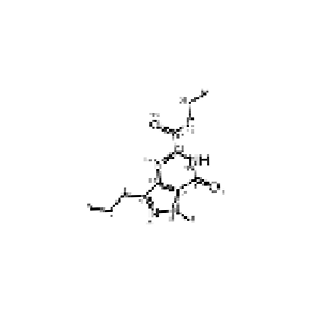 CCCc1nn(C)c2c(=O)[nH]c(C(=O)OCC)nc12